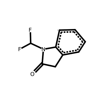 O=C1Cc2ccc[c]c2N1C(F)F